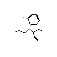 CCCCC(C=O)CC.Fc1ccccc1